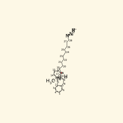 C[C@]12c3ccccc3C[C@H](c3ccccc31)N2CCCCCCCCCCCCN=[N+]=[N-]